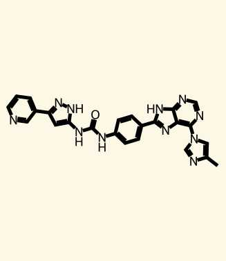 Cc1cn(-c2ncnc3[nH]c(-c4ccc(NC(=O)Nc5cc(-c6cccnc6)n[nH]5)cc4)nc23)cn1